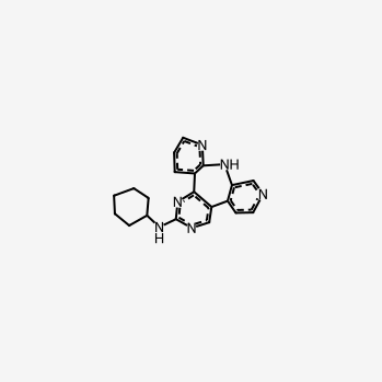 c1cnc2c(c1)-c1nc(NC3CCCCC3)ncc1-c1ccncc1N2